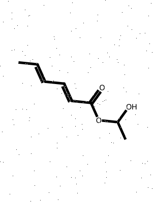 CC=CC=CC(=O)OC(C)O